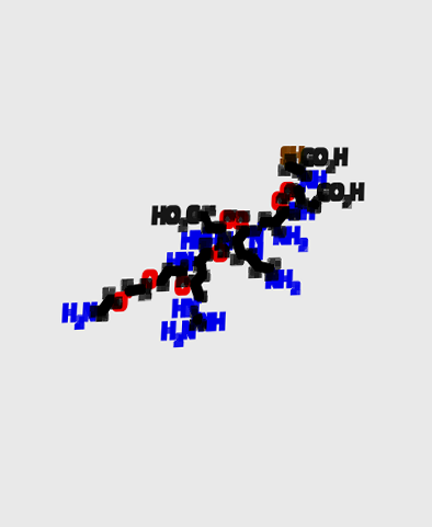 N=C(N)NCCCC(NC(=O)CCOCCOCCN)C(=O)N[C@@H](CC(=O)O)C(=O)NC(CCCCN)C(=O)NC[C@H](N)C(=O)N[C@@H](CC(=O)O)C(=O)N[C@@H](CS)C(=O)O